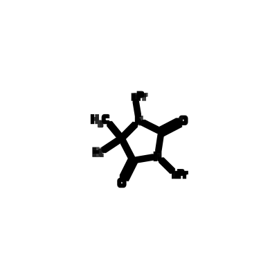 CCCN1C(=O)N(CCC)C(C)(CC)C1=O